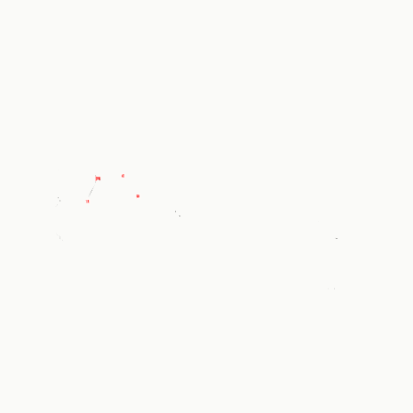 c1ccc(-c2ccccc2-c2ccccc2-c2ccccc2N(c2ccc(-c3ccc4c(c3)C3(c5ccccc5Oc5ccccc53)c3ccccc3-4)cc2)c2cccc(-n3c4ccccc4c4ccccc43)c2)cc1